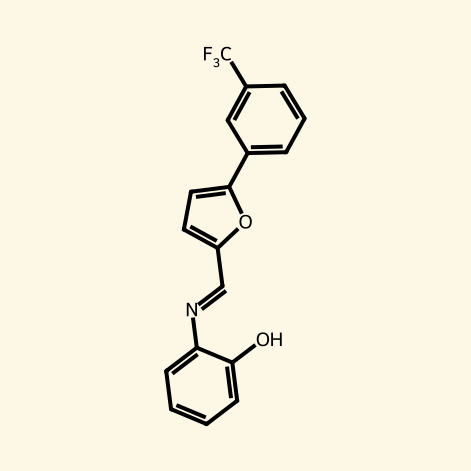 Oc1ccccc1/N=C/c1ccc(-c2cccc(C(F)(F)F)c2)o1